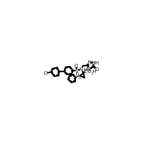 O=C(O)[C@@]1(N(Cc2n[nH]c(=O)[nH]2)S(=O)(=O)c2ccc(-c3ccc(Cl)cc3)cc2)C[C@H]1c1ccccc1